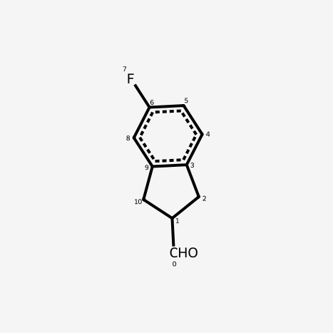 O=CC1Cc2ccc(F)cc2C1